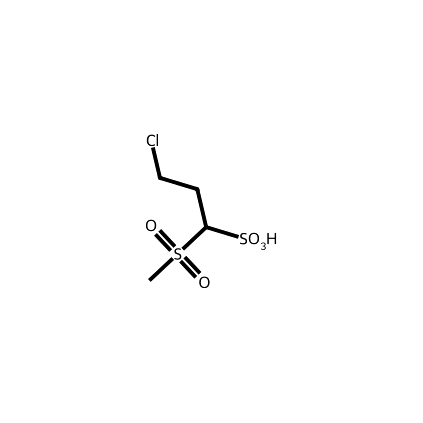 CS(=O)(=O)C(CCCl)S(=O)(=O)O